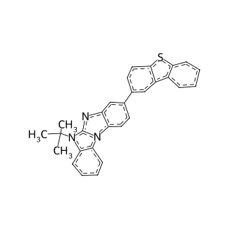 CC(C)(C)n1c2ccccc2n2c3ccc(-c4ccc5sc6ccccc6c5c4)cc3nc12